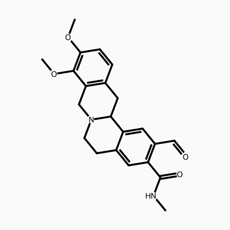 CNC(=O)c1cc2c(cc1C=O)C1Cc3ccc(OC)c(OC)c3CN1CC2